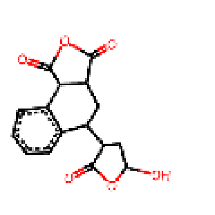 O=C1OC(O)CC1C1CC2C(=O)OC(=O)C2c2ccccc21